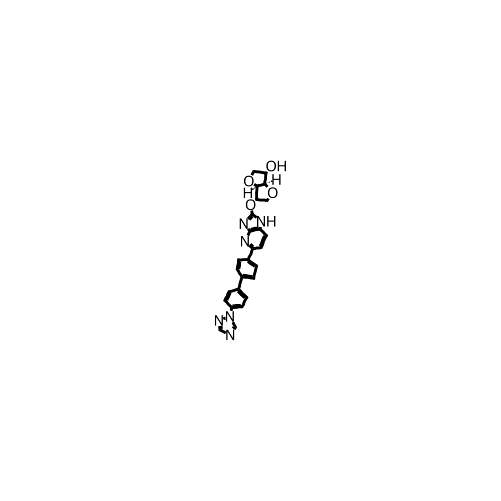 O[C@@H]1CO[C@H]2[C@@H]1OC[C@H]2Oc1nc2nc(-c3ccc(-c4ccc(-n5cncn5)cc4)cc3)ccc2[nH]1